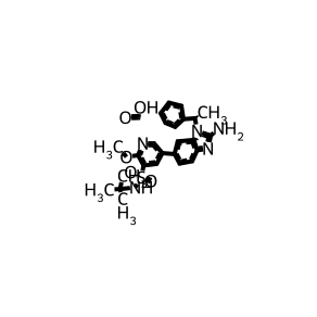 COc1ncc(-c2ccc3nc(N)n([C@@H](C)c4ccccc4)c3c2)cc1S(=O)(=O)NC(C)(C)C.O=CO